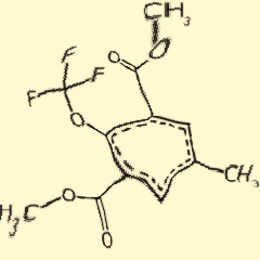 COC(=O)c1cc(C)cc(C(=O)OC)c1OC(F)(F)F